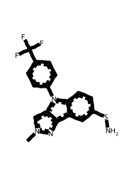 Cn1cc2c(n1)c1cc(SN)ccc1n2-c1ccc(C(F)(F)F)cc1